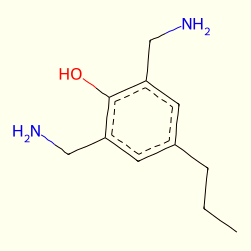 CCCc1cc(CN)c(O)c(CN)c1